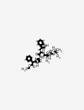 CCOC(=O)C(c1ccccc1)c1nc(NC(=O)[C@@H](Cc2c[nH]c3ccccc23)NC(=O)C(C)(C)NC(=O)OC(C)(C)C)c[nH]1